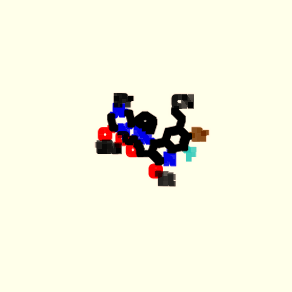 CCOc1nc2c(F)c(Br)c(CCC#N)cc2c2c1cc(CN1CCN(C(C)C)CC1=O)n2C1C2CC1N(C(=O)OC(C)(C)C)C2